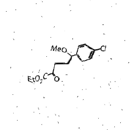 CCOC(=O)C(=O)CCC(OC)c1ccc(Cl)cc1